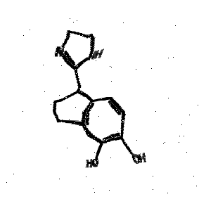 Oc1ccc2c(c1O)CCC2C1=NCCN1